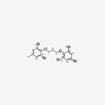 Cc1cc(Br)c(OCCCOc2c(Br)cc(Br)cc2Br)c(Br)c1